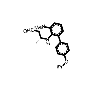 CNc1cccc(-c2ccc(OC(C)C)cc2)c1N[C@H](C)CC=O